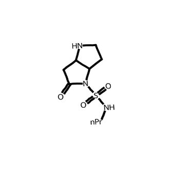 CCCNS(=O)(=O)N1C(=O)CC2NCCC21